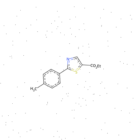 CCOC(=O)c1cnc(-c2ccc(C)cc2)s1